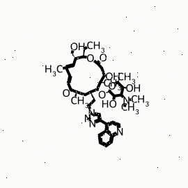 CC[C@H]1OC(=O)C[C@@H](O)[C@H](C)[C@@H](O[C@@H]2O[C@H](C)[C@@H](O)C(N(C)C)C2O)[C@@H](CCn2cc(-c3ccnc4ccccc34)nn2)C[C@@H](C)C(=O)/C=C/C(C)=C/[C@@H]1CO